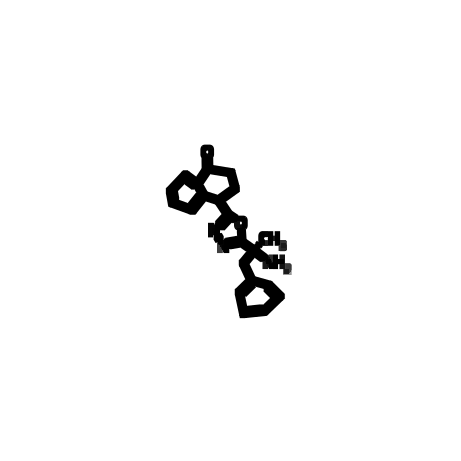 C[C@](N)(Cc1ccccc1)c1nnc(C2CCC(=O)c3ccccc32)o1